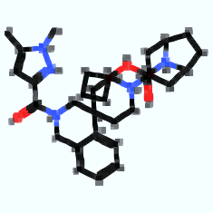 Cc1cc(C(=O)N2Cc3ccccc3C3(CCN(C4CC5CCC(C4)N5C(=O)OC4CCC4)CC3)C2)nn1C